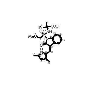 COCP(=O)(NC(C)(C(=O)O)C(C)C)N1C(=O)/C(=C\c2[nH]c(C)cc2C)c2ccccc21